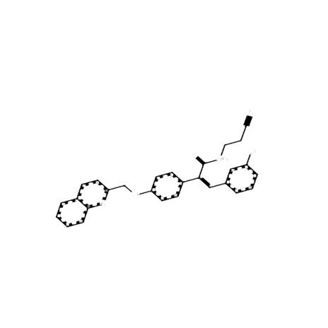 N#CCCNC(=O)C(=Cc1cccc(Cl)c1)c1ccc(OCc2ccc3ccccc3n2)cc1